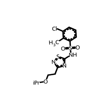 Cc1c(Cl)cccc1S(=O)(=O)Nc1nc(CCOC(C)C)ns1